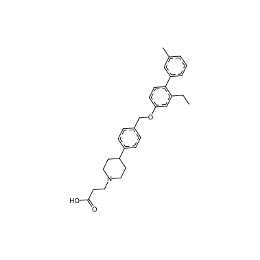 CCc1cc(OCc2ccc(C3CCN(CCC(=O)O)CC3)cc2)ccc1-c1cccc(C)c1